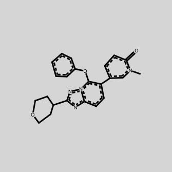 Cn1cc(-c2ccc3nc(C4CCOCC4)nn3c2Oc2ccccc2)ccc1=O